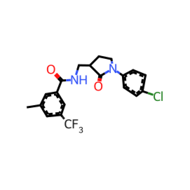 Cc1cc(C(=O)NCC2CCN(c3ccc(Cl)cc3)C2=O)cc(C(F)(F)F)c1